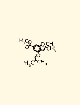 COC(=O)c1cc(OCC(C)C)c2c(c1)OC(C)(C)C2